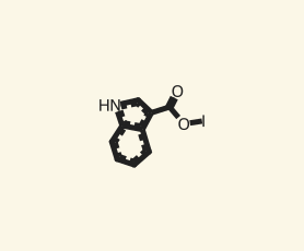 O=C(OI)c1c[nH]c2ccccc12